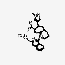 Cn1cc(-c2cc3c(cc2C(F)F)N(c2nc(CC(=O)O)cc4ccccc24)CCC3)cn1